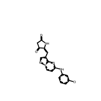 O=C1CC(=O)/C(=C\c2cnn3ccc(Nc4cccc(Cl)c4)nc23)N1